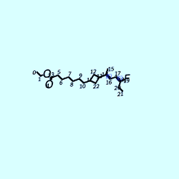 CCOC(=O)CCCCCCC1CC(/C(C)=C/C=C(/F)CC)C1